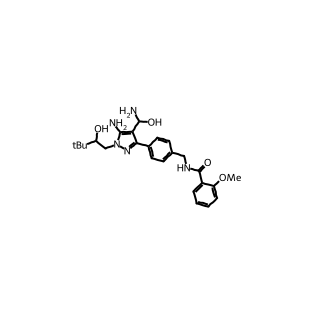 COc1ccccc1C(=O)NCc1ccc(-c2nn(CC(O)C(C)(C)C)c(N)c2C(N)O)cc1